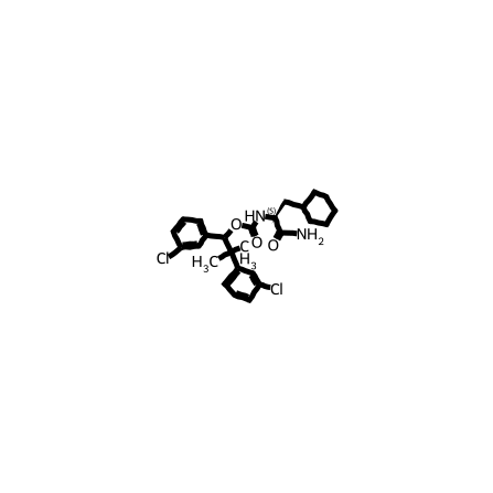 CC(C)(c1cccc(Cl)c1)C(OC(=O)N[C@@H](CC1CCCCC1)C(N)=O)c1cccc(Cl)c1